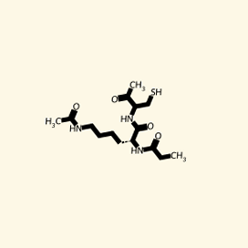 CCC(=O)N[C@H](CCCCNC(C)=O)C(=O)NC(CS)C(C)=O